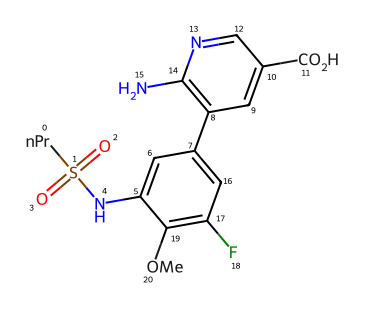 CCCS(=O)(=O)Nc1cc(-c2cc(C(=O)O)cnc2N)cc(F)c1OC